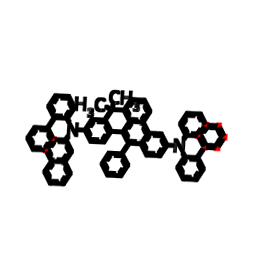 CC1(C)c2cc(N(c3ccc4ccccc4c3)c3ccccc3-c3ccccc3)ccc2-c2c(-c3ccccc3)c3ccc(N(c4ccccc4-c4ccccc4)c4cccc5ccccc45)cc3c3cccc1c23